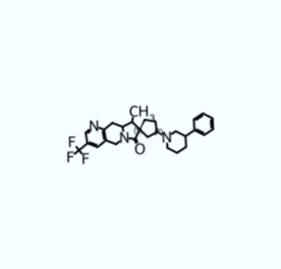 CC1C2Cc3ncc(C(F)(F)F)cc3CN2C(=O)[C@]12CC[C@@H](N1CCCC(c3ccccc3)C1)C2